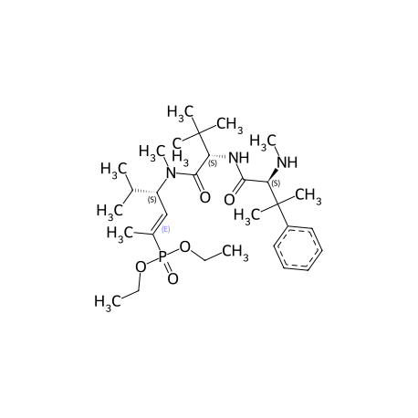 CCOP(=O)(OCC)/C(C)=C/[C@H](C(C)C)N(C)C(=O)[C@@H](NC(=O)[C@@H](NC)C(C)(C)c1ccccc1)C(C)(C)C